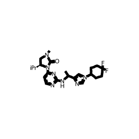 CC(Nc1nccc(N2C(=O)N(C)C[C@@H]2C(C)C)n1)c1cn(C2CCC(F)(F)CC2)cn1